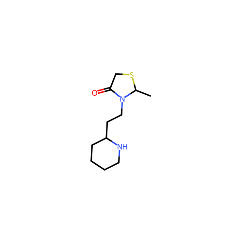 CC1SCC(=O)N1CCC1CCCCN1